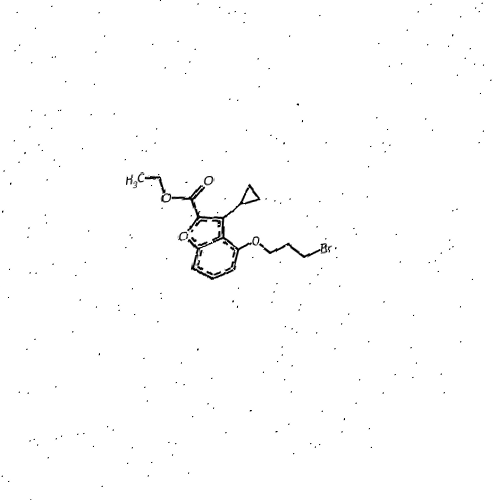 CCOC(=O)c1oc2cccc(OCCCBr)c2c1C1CC1